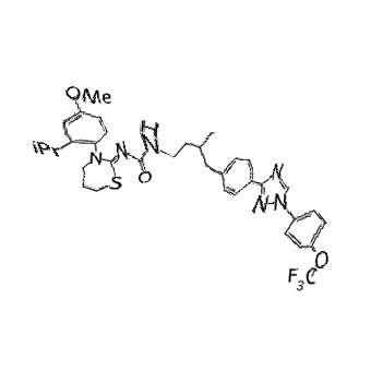 COc1ccc(N2CCCS/C2=N\C(=O)NCCC(C)Cc2ccc(-c3ncn(-c4ccc(OC(F)(F)F)cc4)n3)cc2)c(C(C)C)c1